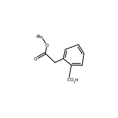 CCC(C)OC(=O)Cc1ccccc1C(=O)O